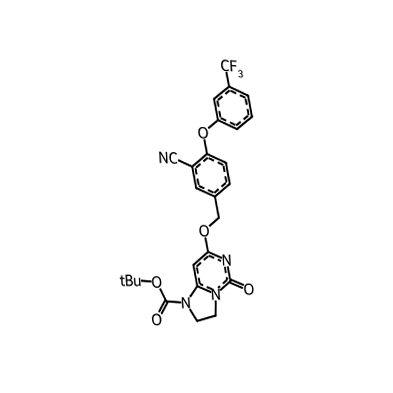 CC(C)(C)OC(=O)N1CCn2c1cc(OCc1ccc(Oc3cccc(C(F)(F)F)c3)c(C#N)c1)nc2=O